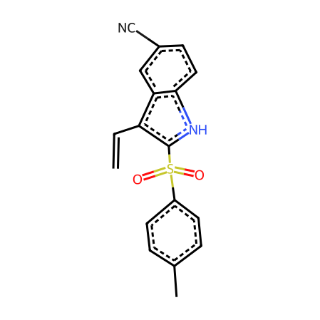 C=Cc1c(S(=O)(=O)c2ccc(C)cc2)[nH]c2ccc(C#N)cc12